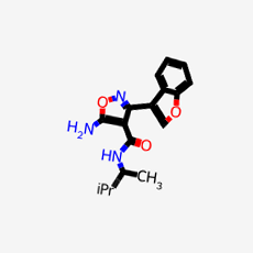 CC(C)C(C)NC(=O)c1c(-c2coc3ccccc23)noc1N